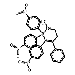 C[O+]1CCC(c2ccccc2)=C(c2ccc([N+](=O)[O-])cc2)[B-]1(c1ccc([N+](=O)[O-])cc1)c1ccc([N+](=O)[O-])cc1